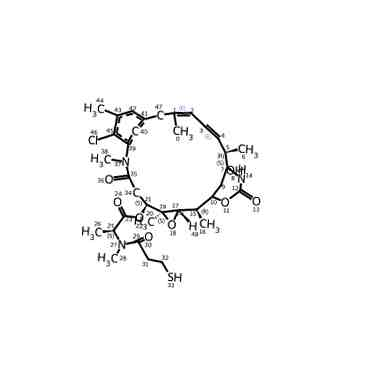 C/C1=C\C=C\[C@@H](C)[C@@]2(O)CC(OC(=O)N2)[C@@H](C)[C@@H]2O[C@@]2(C)[C@@H](OC(=O)[C@H](C)N(C)C(=O)CCS)CC(=O)N(C)c2cc(cc(C)c2Cl)C1